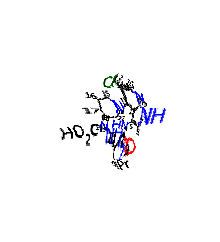 CC(C)CC(=O)Nc1c[nH]c2ncc(Cl)c(N3CCC[C@@H](N(N)C(=O)O)C3)c12